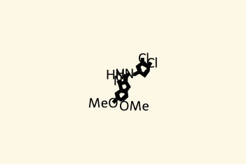 COc1cc2c(cc1OC)-c1n[nH]c(NCc3ccc(Cl)c(Cl)c3)c1C2